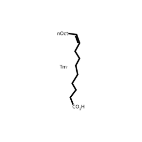 CCCCCCCC/C=C\CCCCCCCC(=O)O.[Tm]